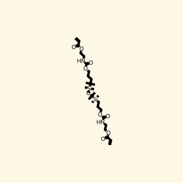 C=CC(=O)OCCNC(=O)OCCCC(C)(C)[Si](C)(C)OC(C)(C)[Si](C)(C)CCCOC(=O)NCCOC(=O)C=C